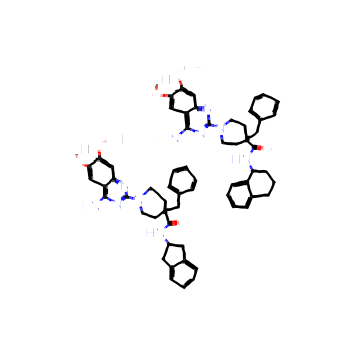 COc1cc2nc(N3CCC(Cc4ccccc4)(C(=O)NC4CCCc5ccccc54)CC3)nc(N)c2cc1OC.COc1cc2nc(N3CCC(Cc4ccccc4)(C(=O)NC4Cc5ccccc5C4)CC3)nc(N)c2cc1OC